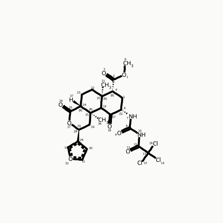 COC(=O)[C@@H]1C[C@H](NC(=O)NC(=O)C(Cl)(Cl)Cl)C(=O)C2[C@@]1(C)CC[C@H]1C(=O)O[C@H](c3ccoc3)C[C@]21C